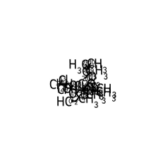 C#CC[C@H](C)[C@H](OC(=O)OCC(Cl)(Cl)Cl)[C@@H](C)C(=O)C(C)(C)[C@H](CC(=O)OC(C)(C)C)O[Si](CC)(CC)CC